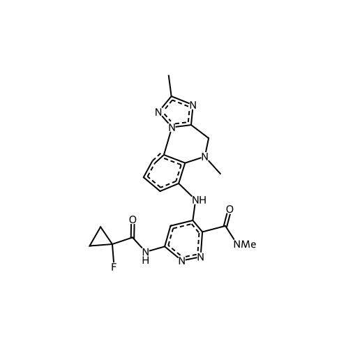 CNC(=O)c1nnc(NC(=O)C2(F)CC2)cc1Nc1cccc2c1N(C)Cc1nc(C)nn1-2